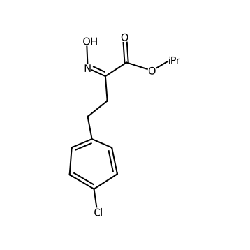 CC(C)OC(=O)C(CCc1ccc(Cl)cc1)=NO